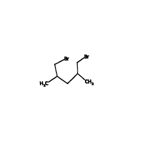 CC(CBr)CC(C)CBr